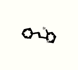 Brc1cccnc1C=Cc1ccccc1